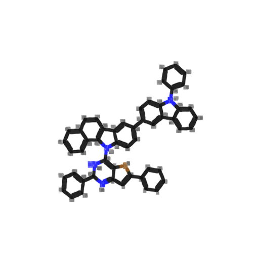 c1ccc(-c2cc3c(s2)=C(n2c4ccc(-c5ccc6c(c5)c5ccccc5n6-c5ccccc5)cc4c4ccc5ccccc5c42)NC(c2ccccc2)N=3)cc1